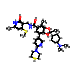 CSc1cc(C)[nH]c(=O)c1CNC(=O)c1cc(-c2ccc(N3CCSCC3)nc2)c2c(c1C)OC(C)([C@H]1CC[C@H](N(C)C)CC1)O2